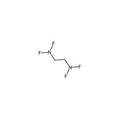 FN(F)CCN(F)F